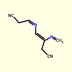 C=N/C(=C\N=C/CC#N)CC#N